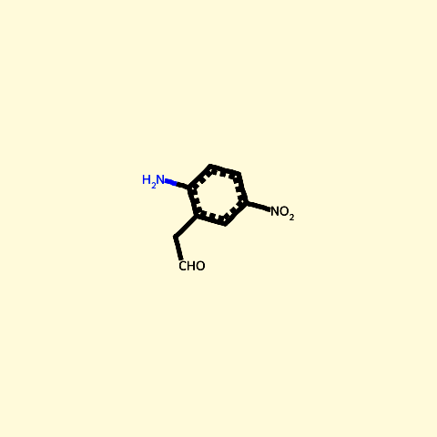 Nc1ccc([N+](=O)[O-])cc1CC=O